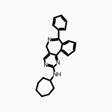 c1ccc(C2=NCc3cnc(NC4CCCCCC4)nc3-c3ccccc32)cc1